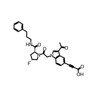 CC(=O)c1cn(CC(=O)N2C[C@H](F)C[C@H]2C(=O)NCCCc2ccccc2)c2ccc(C#CC(=O)O)cc12